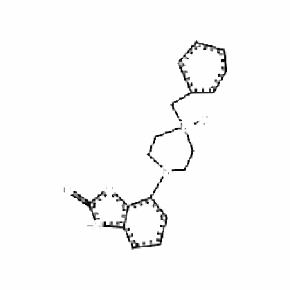 O=c1[nH]c2cccc(N3CC[N+]([O-])(Cc4ccccc4)CC3)c2o1